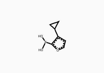 OB(O)c1occc1C1CC1